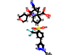 Cn1cc(-c2ccc(S(=O)(=O)[C@@H]3C[C@H](OC4CCOCC4)[C@@](C(=O)O)(C4CC4(C#N)C(N)=O)C3)c(C(F)(F)F)c2)cn1